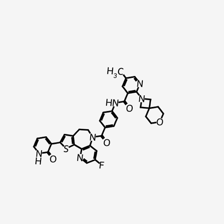 Cc1cnc(N2CC3(CCOCC3)C2)c(C(=O)Nc2ccc(C(=O)N3CCc4cc(-c5ccc[nH]c5=O)sc4-c4ncc(F)cc43)cc2)c1